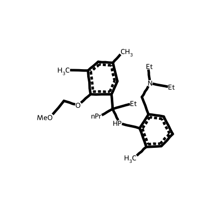 CCCC(CC)(Pc1c(C)cccc1CN(CC)CC)c1cc(C)cc(C)c1OCOC